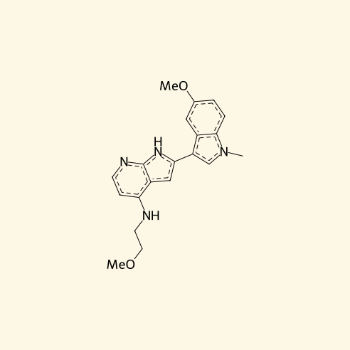 COCCNc1ccnc2[nH]c(-c3cn(C)c4ccc(OC)cc34)cc12